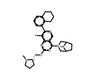 CN1CCC[C@H]1COc1nc(N2CC3CCC(C2)N3)c2cnc(-c3cccc4c3CCCC4)c(F)c2n1